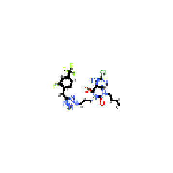 CCCCn1c(=O)n(CCCn2nnc(Cc3ccc(C(F)(F)F)cc3F)n2)c(=O)c2[nH]c(Cl)nc21